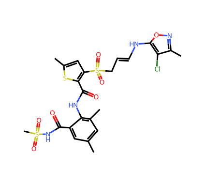 Cc1cc(C)c(NC(=O)c2sc(C)cc2S(=O)(=O)CC=CNc2onc(C)c2Cl)c(C(=O)NS(C)(=O)=O)c1